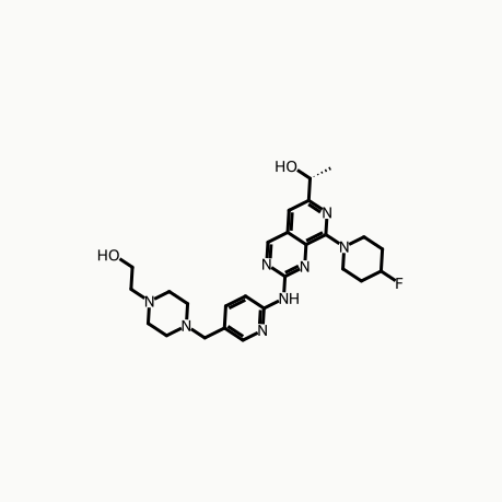 C[C@@H](O)c1cc2cnc(Nc3ccc(CN4CCN(CCO)CC4)cn3)nc2c(N2CCC(F)CC2)n1